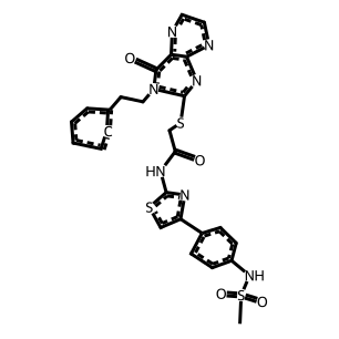 CS(=O)(=O)Nc1ccc(-c2csc(NC(=O)CSc3nc4nccnc4c(=O)n3CCc3ccccc3)n2)cc1